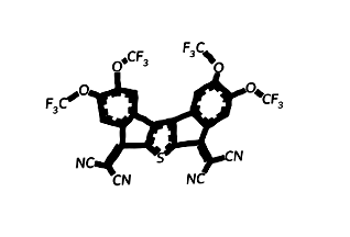 N#CC(C#N)=C1c2cc(OC(F)(F)F)c(OC(F)(F)F)cc2-c2c1sc1c2-c2cc(OC(F)(F)F)c(OC(F)(F)F)cc2C1=C(C#N)C#N